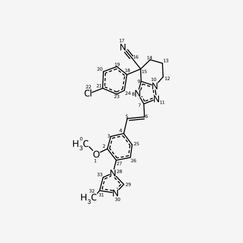 COc1cc(C=Cc2nc3n(n2)CCCC3(C#N)c2ccc(Cl)cc2)ccc1-n1cnc(C)c1